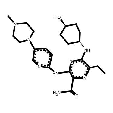 CCc1nc(C(N)=O)c(Nc2ccc(N3CCN(C)CC3)cn2)nc1N[C@H]1CC[C@H](O)CC1